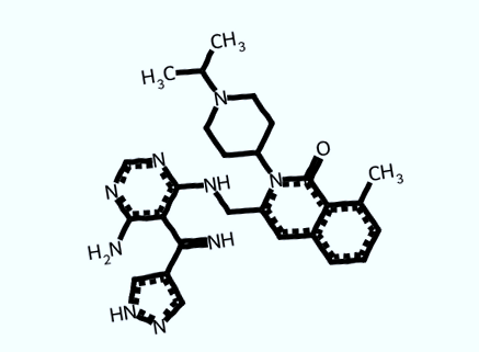 Cc1cccc2cc(CNc3ncnc(N)c3C(=N)c3cn[nH]c3)n(C3CCN(C(C)C)CC3)c(=O)c12